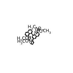 CCOP(=O)(OCC)c1ccc2cc(-c3cccn3C(=O)OC(C)(C)C)cc(-c3cccc4ccccc34)c2n1